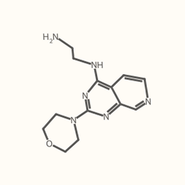 NCCNc1nc(N2CCOCC2)nc2cnccc12